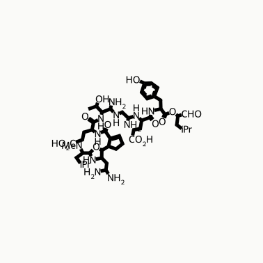 CNC(CC(C)C)C1NC(CC(N)N)C(C2CCC=C2C(=O)NC(CCC(=O)O)C(=O)NC(C(C)O)C(N)NCC(N)NC(CCC(=O)O)C(=O)NC(Cc2ccc(O)cc2)C(=O)OC(C=O)CC(C)C)O1